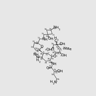 CN[C@@H]1[C@@H](O)[C@@H](O[C@@H]2[C@@H](O)[C@H](C3OC(CNCC4(O)CC(N)C4)=CC[C@H]3N)[C@@H](N)C[C@H]2NC(=O)[C@@H](O)CCN)OC[C@]1(C)O